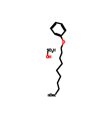 CCCCCCCCCCCCCCCCCCOc1ccccc1.O=S(=O)(O)O